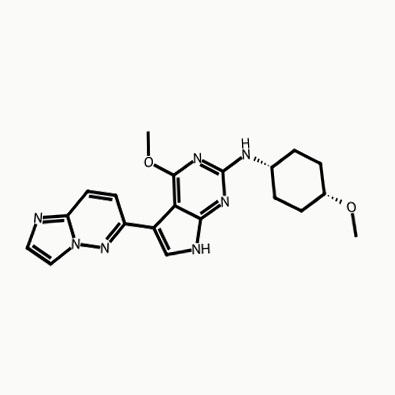 COc1nc(N[C@H]2CC[C@@H](OC)CC2)nc2[nH]cc(-c3ccc4nccn4n3)c12